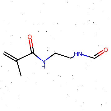 C=C(C)C(=O)NCCNC=O